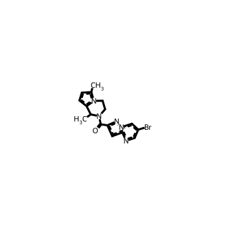 Cc1ccc2n1CCN(C(=O)c1cc3ncc(Br)cn3n1)C2C